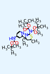 C=C1C[C@@](C)(c2cc(NC(=O)OC(C)(C)C)ccn2)N=C(N(C(=O)OC(C)(C)C)C(=O)OC(C)(C)C)S1